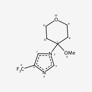 COC1(n2cnc(C(F)(F)F)c2)CCOCC1